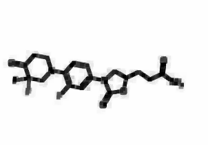 NC(=O)CCC1CN(c2ccc(N3CCC(=O)C(F)(F)C3)c(F)c2)C(=O)O1